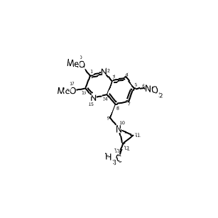 COc1nc2cc([N+](=O)[O-])cc(CN3CC3C)c2nc1OC